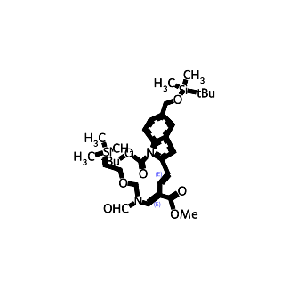 COC(=O)C(/C=C/c1cc2cc(CO[Si](C)(C)C(C)(C)C)ccc2n1C(=O)OC(C)(C)C)=C/N(C=O)COCC[Si](C)(C)C